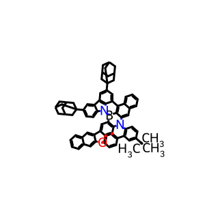 CC(C)(C)c1ccc(N2c3cc4oc5cc6ccccc6cc5c4cc3B3c4c2cc2ccccc2c4-c2cc(C45CC6CC(CC(C6)C4)C5)cc4c5cc(C67CC8CC(CC(C8)C6)C7)ccc5n3c24)c(-c2ccccc2)c1